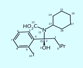 CC(C)C[C@](O)(c1ccccc1I)N(C(=O)O)C1CCCCC1